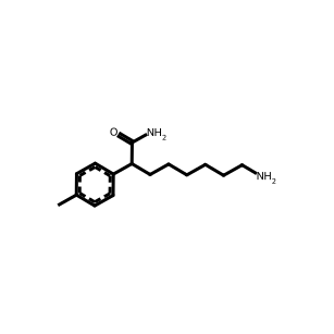 Cc1ccc(C(CCCCCCN)C(N)=O)cc1